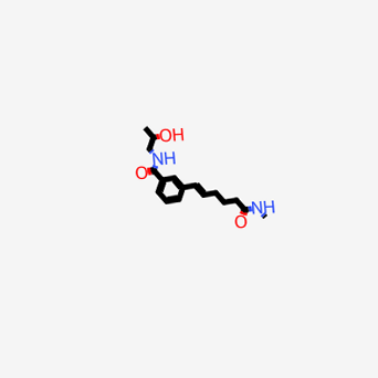 CNC(=O)CCCC=Cc1cccc(C(=O)NCC(C)O)c1